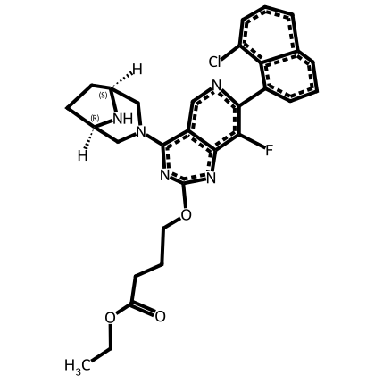 CCOC(=O)CCCOc1nc(N2C[C@H]3CC[C@@H](C2)N3)c2cnc(-c3cccc4cccc(Cl)c34)c(F)c2n1